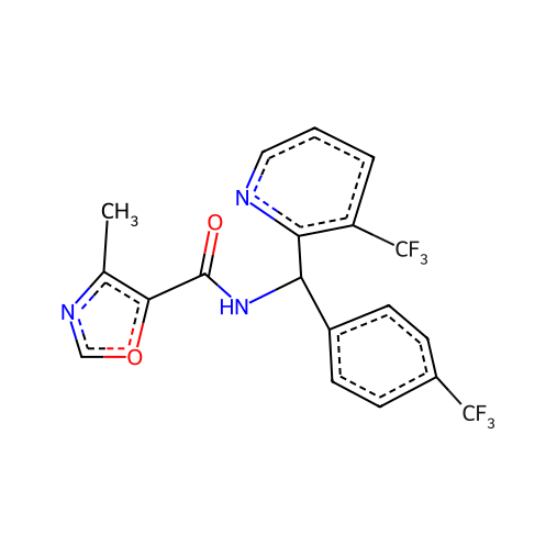 Cc1ncoc1C(=O)NC(c1ccc(C(F)(F)F)cc1)c1ncccc1C(F)(F)F